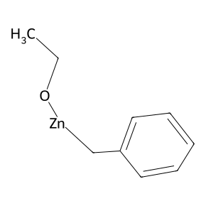 CC[O][Zn][CH2]c1ccccc1